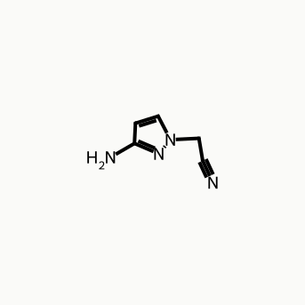 N#CCn1ccc(N)n1